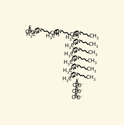 CCCCCn1cc[n+](C)c1.CCCCCn1cc[n+](C)c1.CCCCCn1cc[n+](C)c1.CCCCCn1cc[n+](C)c1.CCCCCn1cc[n+](C)c1.CCCCCn1cc[n+](C)c1.CCCCCn1cc[n+](C)c1.CCCCCn1cc[n+](C)c1.[O-]B([O-])F.[O-]B([O-])F.[O-]B([O-])F.[O-]B([O-])F